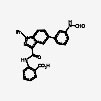 CC(C)n1nc(C(=O)Nc2ccccc2C(=O)O)c2cc(-c3cccc(NC=O)c3)ccc21